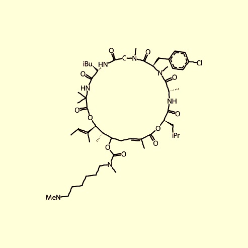 C/C=C(\C)[C@H]1OC(=O)C(C)(C)NC(=O)[C@H]([C@H](C)CC)NC(=O)CN(C)C(=O)[C@@H](Cc2ccc(Cl)cc2)N(C)C(=O)[C@H](C)NC(=O)[C@@H](CC(C)C)OC(=O)/C(C)=C/CC(OC(=O)N(C)CCCCCCNC)[C@@H]1C